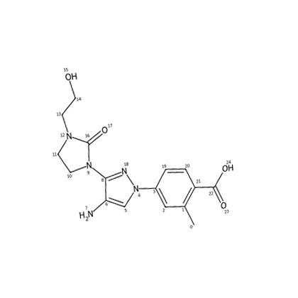 Cc1cc(-n2cc(N)c(N3CCN(CCO)C3=O)n2)ccc1C(=O)O